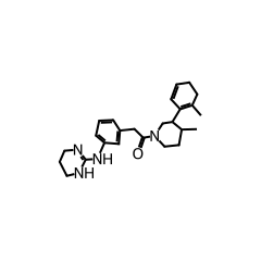 CC1=C(C2CN(C(=O)Cc3cccc(NC4=NCCCN4)c3)CCC2C)C=CCC1